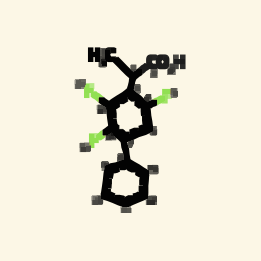 CC(C(=O)O)c1c(F)cc(-c2ccccc2)c(F)c1F